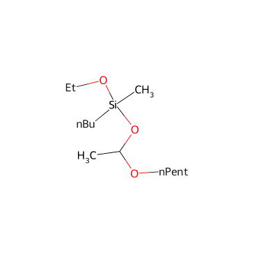 CCCCCOC(C)O[Si](C)(CCCC)OCC